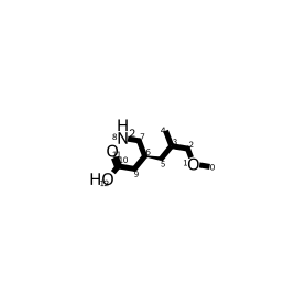 COCC(C)C[C@H](CN)CC(=O)O